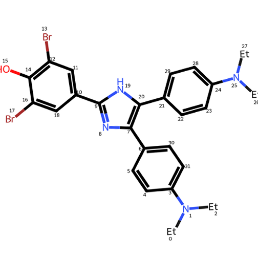 CCN(CC)c1ccc(-c2nc(-c3cc(Br)c(O)c(Br)c3)[nH]c2-c2ccc(N(CC)CC)cc2)cc1